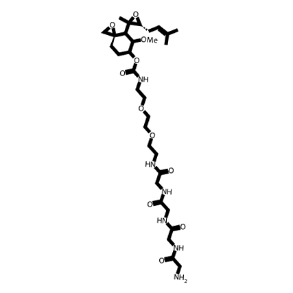 COC1C(OC(=O)NCCOCCOCCNC(=O)CNC(=O)CNC(=O)CNC(=O)CN)CC[C@]2(CO2)C1C1(C)O[C@@H]1CC=C(C)C